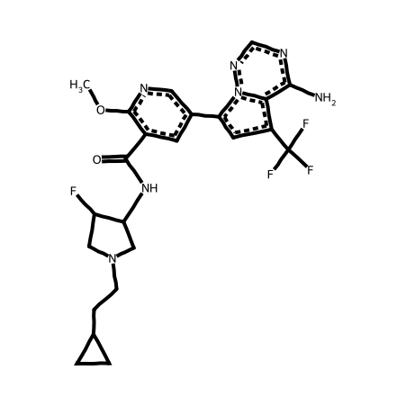 COc1ncc(-c2cc(C(F)(F)F)c3c(N)ncnn23)cc1C(=O)NC1CN(CCC2CC2)CC1F